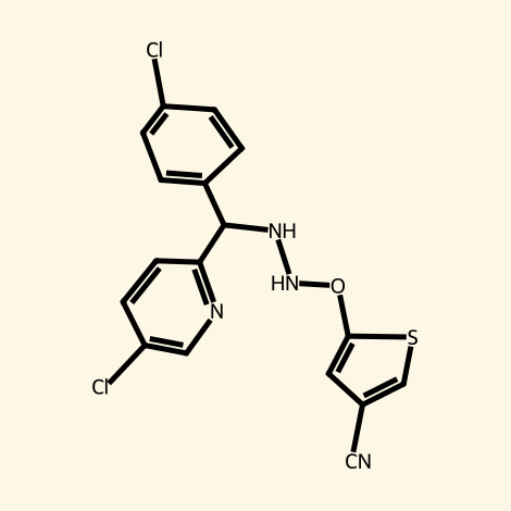 N#Cc1csc(ONNC(c2ccc(Cl)cc2)c2ccc(Cl)cn2)c1